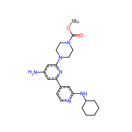 CC(C)(C)OC(=O)N1CCN(c2cc(N)cc(-c3ccnc(NC4CCCCC4)c3)n2)CC1